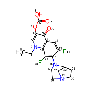 CCn1cc(OC(=O)O)c(=O)c2cc(F)c(N3CCN4CCC3C4)c(F)c21